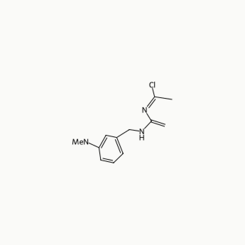 C=C(/N=C(\C)Cl)NCc1cccc(NC)c1